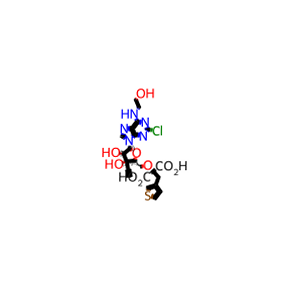 C#C[C@@]1(O)[C@@H](COC(Cc2ccsc2)(C(=O)O)C(=O)O)O[C@@H](n2cnc3c(NCCO)nc(Cl)nc32)[C@@H]1O